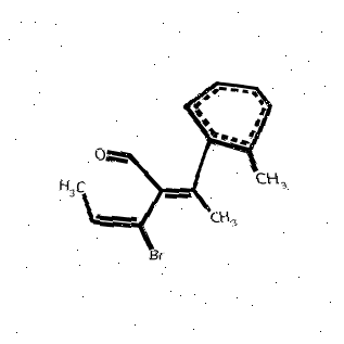 C/C=C(Br)\C(C=O)=C(/C)c1ccccc1C